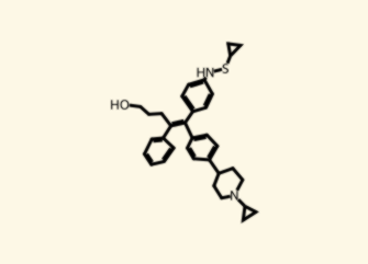 OCCC/C(=C(\c1ccc(NSC2CC2)cc1)c1ccc(C2CCN(C3CC3)CC2)cc1)c1ccccc1